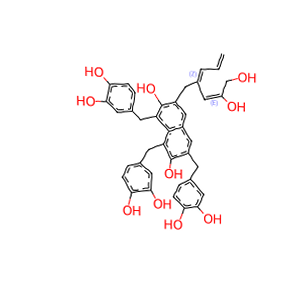 C=C/C=C(\C=C(\O)CO)Cc1cc2cc(Cc3ccc(O)c(O)c3)c(O)c(Cc3ccc(O)c(O)c3)c2c(Cc2ccc(O)c(O)c2)c1O